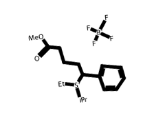 CC[S+](C(C)C)C(CCCC(=O)OC)c1ccccc1.F[B-](F)(F)F